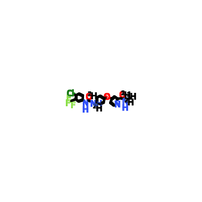 [2H]c1cc(Oc2ccnc(C(=O)NC([2H])([2H])[2H])c2)cc([2H])c1NC(=O)Nc1ccc(Cl)c(C(F)(F)F)c1